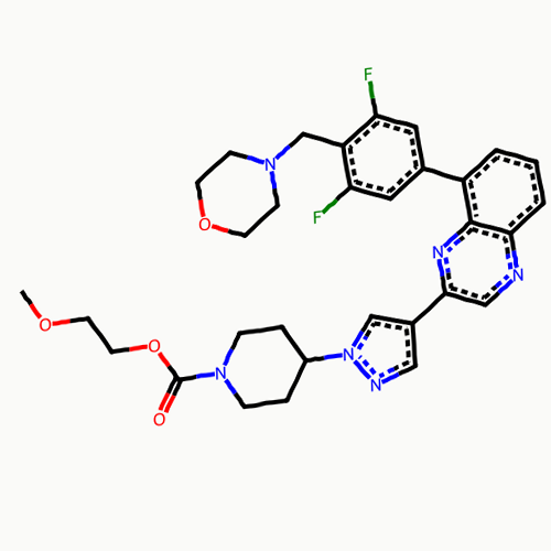 COCCOC(=O)N1CCC(n2cc(-c3cnc4cccc(-c5cc(F)c(CN6CCOCC6)c(F)c5)c4n3)cn2)CC1